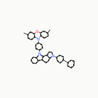 Cc1ccc2c(c1)Oc1cc(C)ccc1N2c1ccc(-n2c3ccccc3c3ccc4c(ccn4-c4ccc(-c5ccccc5)cc4)c32)cc1